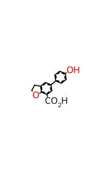 O=C(O)c1cc(-c2ccc(O)cc2)cc2c1OCC2